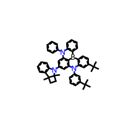 CC(C)(C)c1cccc(N2c3cc(C(C)(C)C)ccc3B3c4ccccc4N(c4ccccc4)c4cc(N5c6ccccc6C6(C)CCC56C)cc2c43)c1